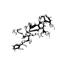 C=C(C)C1CN(c2c(C)ccnc2Cl)C(=O)c2cc(F)c(-n3nc(COCc4ccccc4)n(CC)c3=O)cc21